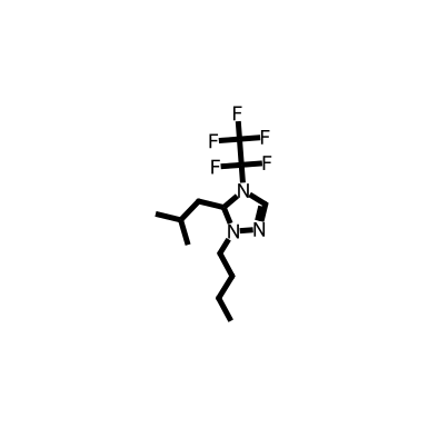 CCCCN1N=CN(C(F)(F)C(F)(F)F)C1CC(C)C